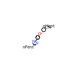 CCCCCCC[C@]1(C#N)CC[C@H](COc2ccc(-c3ncc(CCCCC)cn3)cc2)CC1